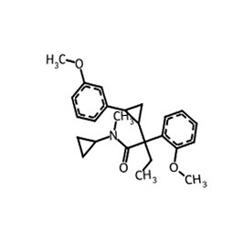 CCC(C(=O)N(C)C1CC1)(c1ccccc1OC)C1CC1c1cccc(OC)c1